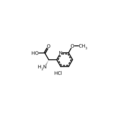 COc1cccc([C@H](N)C(=O)O)n1.Cl